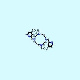 CN1CCCN(Cc2cc(S(=O)(=O)O)ccn2)CCN(C)CCCN(Cc2cc(S(=O)(=O)O)ccn2)CC1